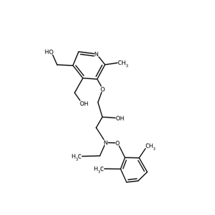 CCN(CC(O)COc1c(C)ncc(CO)c1CO)Oc1c(C)cccc1C